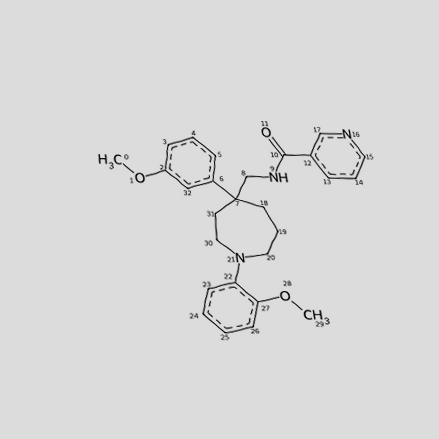 COc1cccc(C2(CNC(=O)c3cccnc3)CCCN(c3ccccc3OC)CC2)c1